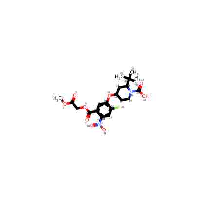 COC(=O)COC(=O)c1cc(OC2CCN(C(=O)O)C(C(C)(C)C)C2)c(F)cc1[N+](=O)[O-]